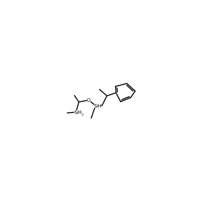 C[SiH2]C(C)O[SiH](C)CC(C)c1ccccc1